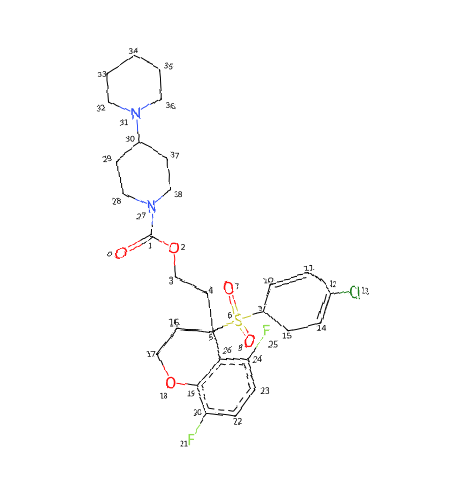 O=C(OCCC1(S(=O)(=O)C2C=CC(Cl)=CC2)CCOc2c(F)ccc(F)c21)N1CCC(N2CCCCC2)CC1